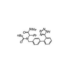 CCCCC(=O)N(Cc1ccc(-c2ccccc2-c2nnn[nH]2)cc1)C(C(=O)NC)C(C)C